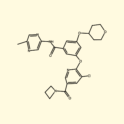 Cc1cnc(NC(=O)c2cc(Oc3ncc(C(=O)N4CCC4)cc3Cl)cc(OC3CCOCC3)c2)cn1